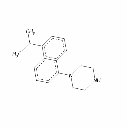 CC(C)c1cccc2c(N3CCNCC3)cccc12